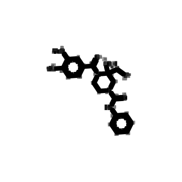 COc1cc(C(=O)N2CCN(C(=O)Nc3ccccc3)CC2(CC(C)C)C(=O)O)ccc1C(C)(C)C